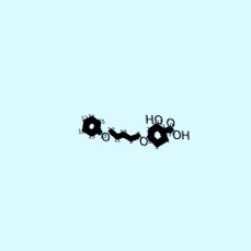 O=C(O)c1ccc(OCCCCCOc2ccccc2)cc1O